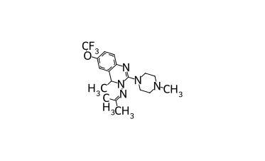 CC(C)=NN1C(N2CCN(C)CC2)=Nc2ccc(OC(F)(F)F)cc2C1C